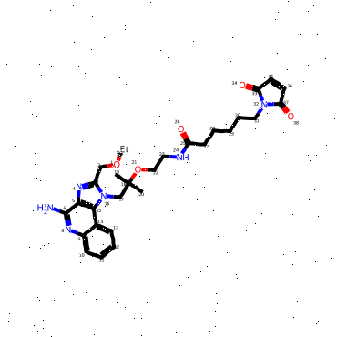 CCOCc1nc2c(N)nc3ccccc3c2n1CC(C)(C)OCCNC(=O)CCCCCN1C(=O)C=CC1=O